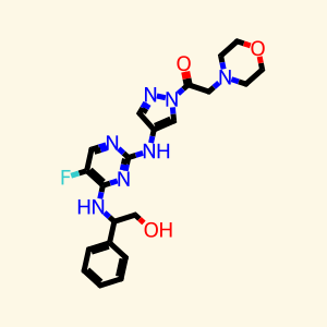 O=C(CN1CCOCC1)n1cc(Nc2ncc(F)c(NC(CO)c3ccccc3)n2)cn1